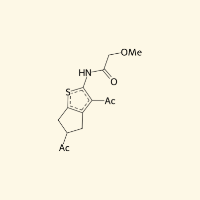 COCC(=O)Nc1sc2c(c1C(C)=O)CC(C(C)=O)C2